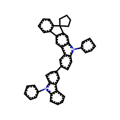 c1ccc(-n2c3ccccc3c3cc(-c4ccc5c(c4)c4cc6c(cc4n5-c4ccccc4)C4(CCCC4)c4ccccc4-6)ccc32)cc1